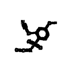 COc1ccc(S(=O)(=O)N=C=O)c(OC#N)c1